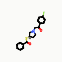 O=C(CN1CC[C@H](SC(=O)c2ccccc2)C1)c1ccc(F)cc1